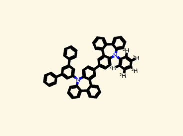 [2H]c1c([2H])c([2H])c(N2c3ccccc3-c3ccccc3-c3cc(-c4ccc5c(c4)-c4ccccc4-c4ccccc4N5c4cc(-c5ccccc5)cc(-c5ccccc5)c4)ccc32)c([2H])c1[2H]